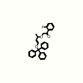 CC(C=COC(c1ccccc1)(c1ccccc1)c1ccccc1)OCC(=O)c1ccccc1F